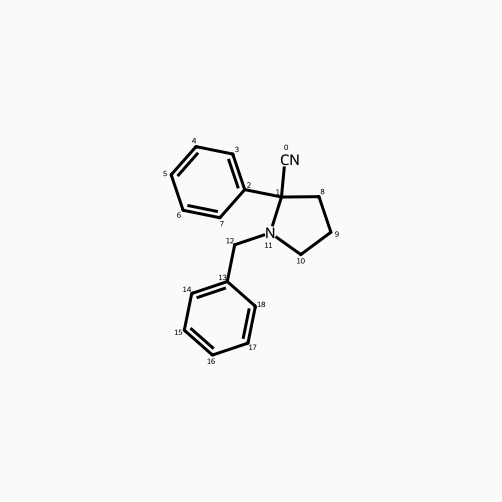 N#CC1(c2ccccc2)CCCN1Cc1ccccc1